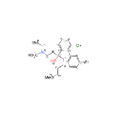 CCc1cccc(-c2c(Cl)cccc2C(O)(CCCCOC)CCN(CC(C)(C)C)C(=O)O)c1